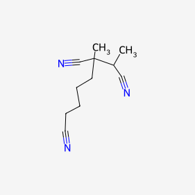 CC(C#N)C(C)(C#N)CCCCC#N